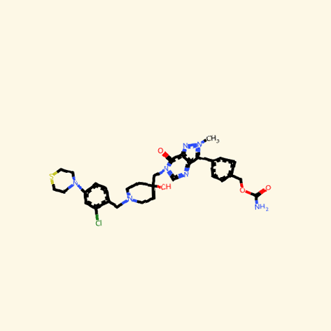 Cn1nc2c(=O)n(CC3(O)CCN(Cc4ccc(N5CCSCC5)cc4Cl)CC3)cnc2c1-c1ccc(COC(N)=O)cc1